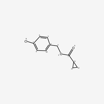 O=C(OCc1ccc(Cl)cc1)C1CC1